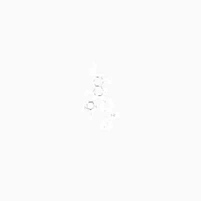 CCOc1cc(F)c2nc(N3CCC(N[C@@H]4CCOC4)CC3)c(-c3nc(C)no3)c(C)c2c1